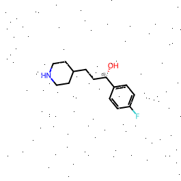 O[C@@H](CCC1CCNCC1)c1ccc(F)cc1